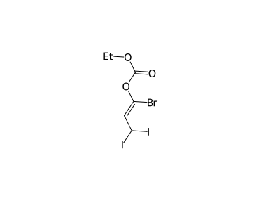 CCOC(=O)OC(Br)=CC(I)I